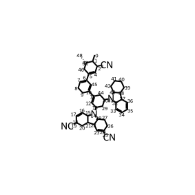 CC1C(C#N)C=C(C2=CCCC(C3=CC(N4C5C=CC(C#N)CC5C5C=C(C#N)CCC54)CC(N4C5C=CC=CC5C5CCCCC54)C3)=C2)C[C@@H]1C